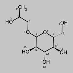 CC(O)COC1O[C@H](CO)[C@@H](O)[C@H](O)[C@H]1O